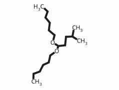 CCCCCCOC(CCC(C)C)OCCCCCC